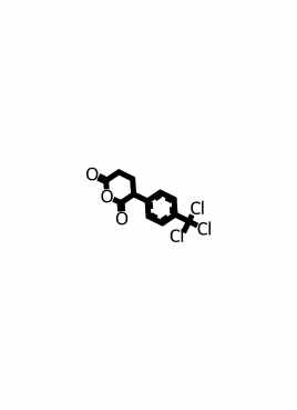 O=C1CCC(c2ccc(C(Cl)(Cl)Cl)cc2)C(=O)O1